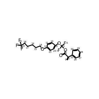 C=C(C(=O)OC(F)(F)Oc1ccc(OCCCCCC(F)(F)F)cc1)c1ccccc1